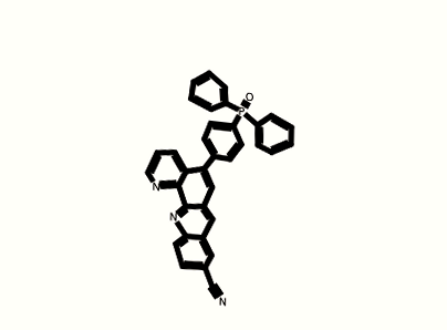 N#Cc1ccc2nc3c(cc(-c4ccc(P(=O)(c5ccccc5)c5ccccc5)cc4)c4cccnc43)cc2c1